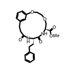 COC(=O)[C@@H]1COCCOc2cccc(c2)CCC(=O)N[C@@H](CCc2ccccc2)C(=O)N1